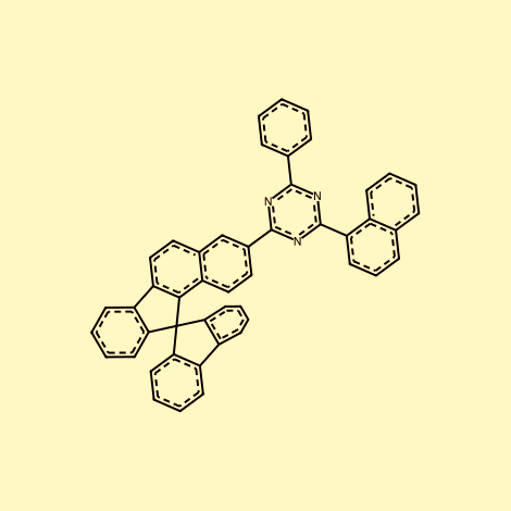 c1ccc(-c2nc(-c3ccc4c5c(ccc4c3)-c3ccccc3C53c4ccccc4-c4ccccc43)nc(-c3cccc4ccccc34)n2)cc1